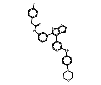 Cc1ccc(CC(=O)Nc2cccc(-c3nc4sccn4c3-c3ccnc(Nc4ccc(N5CCOCC5)cc4)n3)c2)cc1